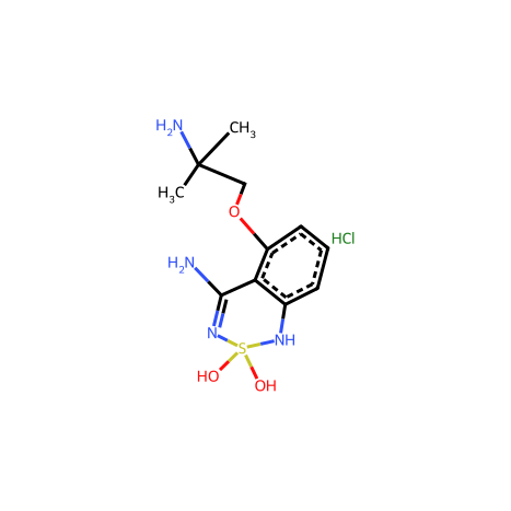 CC(C)(N)COc1cccc2c1C(N)=NS(O)(O)N2.Cl